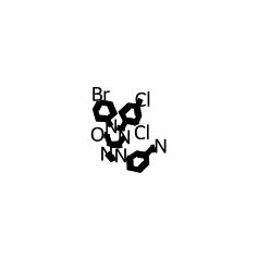 N#Cc1cccc(-n2cnc3c(=O)n(-c4ccc(Br)cc4)c(-c4ccc(Cl)cc4Cl)nc32)c1